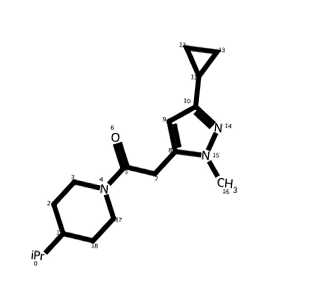 CC(C)C1CCN(C(=O)Cc2cc(C3CC3)nn2C)CC1